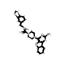 Nc1nc2c(c(N3CCN(C(=S)NCc4ccc5c(c4)OCO5)CC3)n1)OC1C=CC=CC21